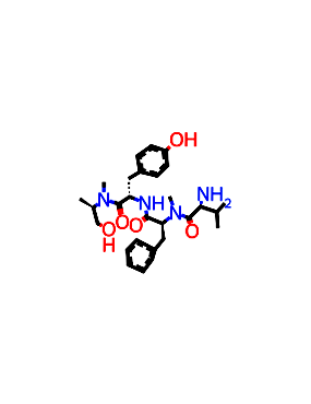 CC(C)[C@H](N)C(=O)N(C)[C@@H](Cc1ccccc1)C(=O)N[C@@H](Cc1ccc(O)cc1)C(=O)N(C)[C@H](C)CO